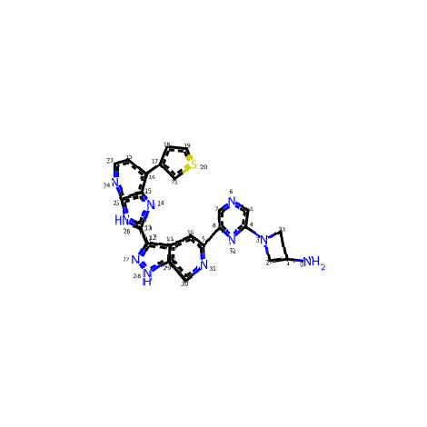 NC1CN(c2cncc(-c3cc4c(-c5nc6c(-c7ccsc7)ccnc6[nH]5)n[nH]c4cn3)n2)C1